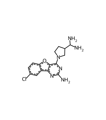 Nc1nc(N2CCC(C(N)N)C2)c2oc3ccc(Cl)cc3c2n1